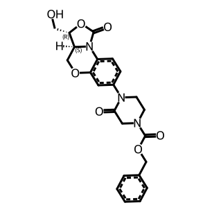 O=C(OCc1ccccc1)N1CCN(c2ccc3c(c2)OC[C@H]2[C@H](CO)OC(=O)N32)C(=O)C1